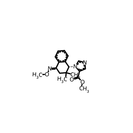 CO/N=C1\CC(C)(C)[C@@H](n2cncc2C(=O)OC)c2ccccc21